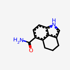 NC(=O)c1ccc2[nH]cc3c2c1CCC3